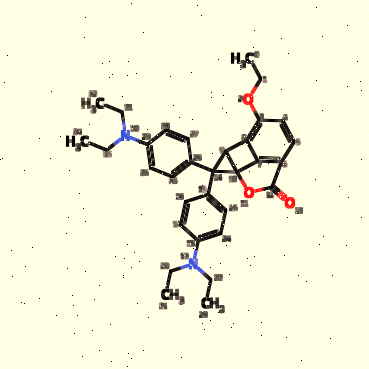 CCOc1ccc2c3c1C1C3(OC2=O)C1(c1ccc(N(CC)CC)cc1)c1ccc(N(CC)CC)cc1